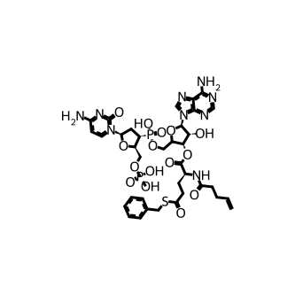 C=CCCC(=O)N[C@@H](CCC(=O)SCc1ccccc1)C(=O)O[C@@H]1C(COP(=O)(O)[C@H]2C[C@H](n3ccc(N)nc3=O)O[C@@H]2COP(=O)(O)O)O[C@@H](n2cnc3c(N)ncnc32)[C@@H]1O